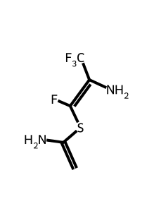 C=C(N)S/C(F)=C(\N)C(F)(F)F